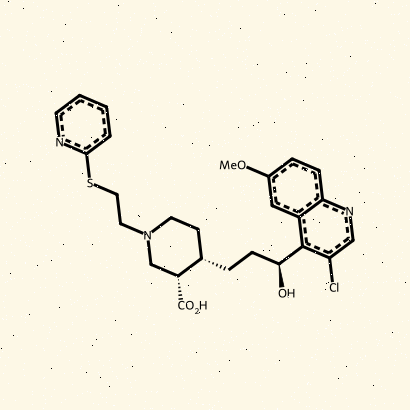 COc1ccc2ncc(Cl)c([C@@H](O)CC[C@H]3CCN(CCSc4ccccn4)C[C@H]3C(=O)O)c2c1